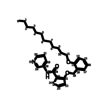 CCCCCCCCCCCCOc1ccccc1COc1ccsc1C(=O)Nc1cccnc1